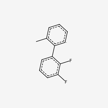 Cc1ccc[c]c1-c1cccc(F)c1F